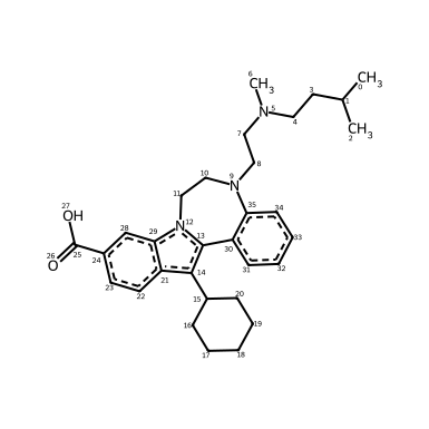 CC(C)CCN(C)CCN1CCn2c(c(C3CCCCC3)c3ccc(C(=O)O)cc32)-c2ccccc21